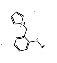 CCCOc1cccnc1C[SH]1C=CC=C1